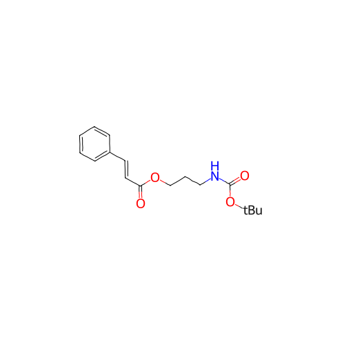 CC(C)(C)OC(=O)NCCCOC(=O)C=Cc1ccccc1